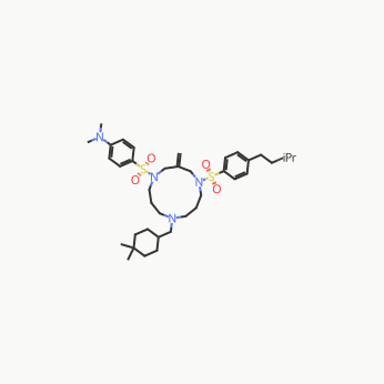 C=C1CN(S(=O)(=O)c2ccc(CCC(C)C)cc2)CCCN(CC2CCC(C)(C)CC2)CCCN(S(=O)(=O)c2ccc(N(C)C)cc2)C1